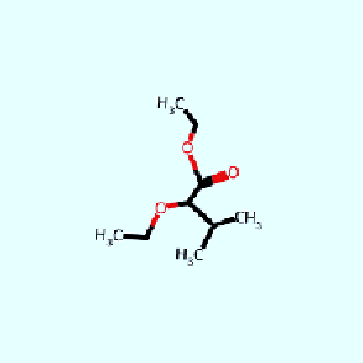 CCOC(=O)C(OCC)C(C)C